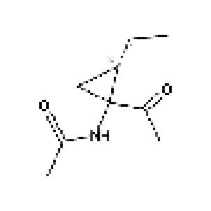 CC[C@H]1CC1(NC(C)=O)C(C)=O